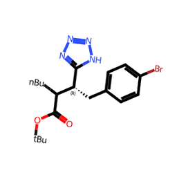 CCCCC(C(=O)OC(C)(C)C)[C@@H](Cc1ccc(Br)cc1)c1nnn[nH]1